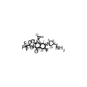 NCC1CCN(c2cc3c(cc2F)c(=O)n(OC(=O)C(F)(F)F)c(=O)n3C2CC2)C1